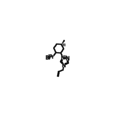 C=CCn1cn[n+](C2C[C@H](C)CCC2C(C)C)c1.[Br-]